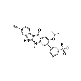 C#Cc1ccc2c(c1)[nH]c1c2c(=O)c2cc(OC(C)C)c(-c3cncc(S(=O)(=O)F)c3)cc2n1C